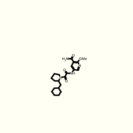 COc1ncc(NC(=O)C(=O)N2CCCCC2CC2CCCCC2)cc1C(N)=O